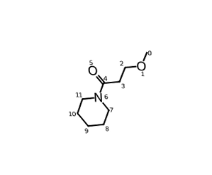 COCCC(=O)N1CCCCC1